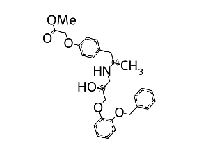 COC(=O)COc1ccc(C[C@@H](C)NC[C@H](O)COc2ccccc2OCc2ccccc2)cc1